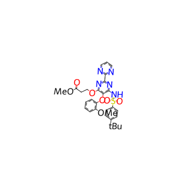 COC(=O)CCOc1nc(-c2ncccn2)nc(NS(=O)(=O)c2ccc(C(C)(C)C)cc2)c1Oc1ccccc1OC